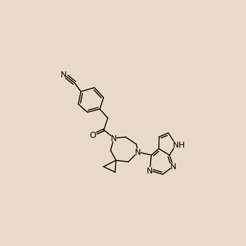 N#Cc1ccc(CC(=O)N2CCN(c3ncnc4[nH]ccc34)CC3(CC3)C2)cc1